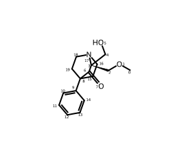 COC[C@@]1(CO)C(=O)C2(c3ccccc3)CCN1CC2